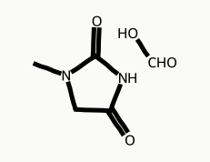 CN1CC(=O)NC1=O.O=CO